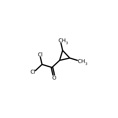 CC1C(C)C1C(=O)C(Cl)Cl